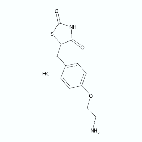 Cl.NCCOc1ccc(CC2SC(=O)NC2=O)cc1